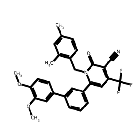 COc1ccc(-c2cccc(-c3cc(C(F)(F)F)c(C#N)c(=O)n3Cc3ccc(C)cc3C)c2)cc1OC